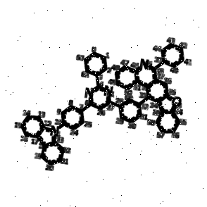 c1ccc(-c2nc(-c3ccc(-n4c5ccccc5c5ccccc54)cc3)cc(-c3cccc(-c4c5c(cc6c(-c7ccccc7)nc7ccccc7c46)oc4ccccc45)c3)n2)cc1